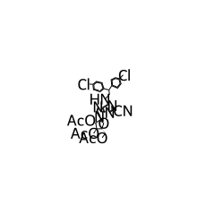 CC(=O)OC[C@H]1O[C@@H](n2cnc3c(NCC(c4ccc(Cl)cc4)c4ccc(Cl)cc4)nc(C#N)nc32)[C@H](OC(C)=O)[C@@H]1OC(C)=O